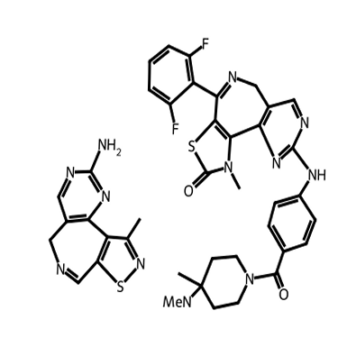 CNC1(C)CCN(C(=O)c2ccc(Nc3ncc4c(n3)-c3c(sc(=O)n3C)C(c3c(F)cccc3F)=NC4)cc2)CC1.Cc1nsc2c1-c1nc(N)ncc1CN=C2